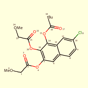 COCC(=O)Oc1cc2ccc(Cl)cc2c(OC(=O)C(C)(C)C)c1OC(=O)COC